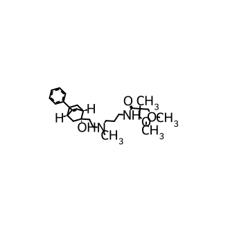 COCC(C)(COC)C(=O)NCCCN(C)CC[C@@]1(O)C[C@@H]2CC[C@H]1C=C2c1ccccc1